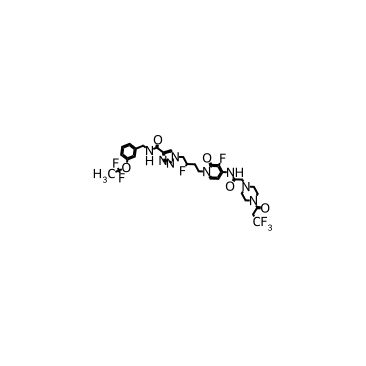 CC(F)(F)Oc1cccc(CNC(=O)c2cn(CC(F)CCn3ccc(NC(=O)CN4CCN(C(=O)CC(F)(F)F)CC4)c(F)c3=O)nn2)c1